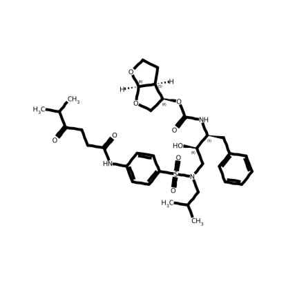 CC(C)CN(C[C@@H](O)[C@H](Cc1ccccc1)NC(=O)O[C@H]1CO[C@H]2OCC[C@H]21)S(=O)(=O)c1ccc(NC(=O)CCC(=O)C(C)C)cc1